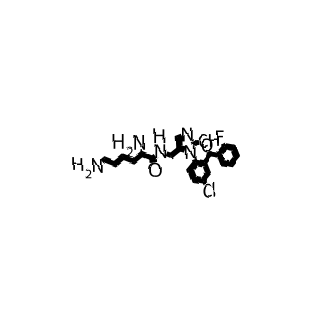 Cc1ncc(CNC(=O)[C@@H](N)CCCCN)n1-c1ccc(Cl)cc1C(=O)c1ccccc1F